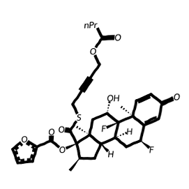 CCCC(=O)OCC#CCSC(=O)[C@@]1(OC(=O)c2ccco2)[C@H](C)C[C@H]2[C@@H]3C[C@H](F)C4=CC(=O)C=C[C@]4(C)[C@@]3(F)[C@@H](O)C[C@@]21C